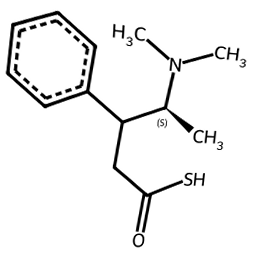 C[C@@H](C(CC(=O)S)c1ccccc1)N(C)C